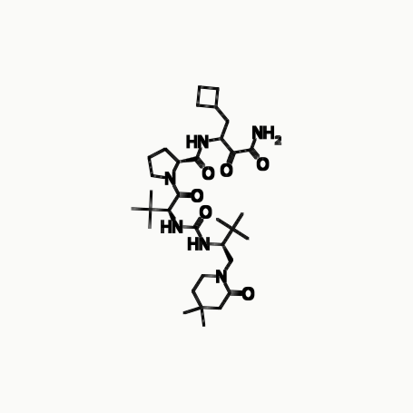 CC1(C)CCN(C[C@@H](NC(=O)N[C@H](C(=O)N2CCC[C@H]2C(=O)NC(CC2CCC2)C(=O)C(N)=O)C(C)(C)C)C(C)(C)C)C(=O)C1